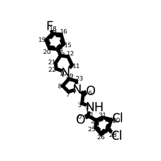 O=C(NCC(=O)N1CCC(N2CCC(c3ccc(F)cc3)CC2)C1)c1ccc(Cl)c(Cl)c1